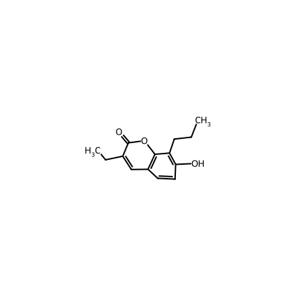 CCCc1c(O)ccc2cc(CC)c(=O)oc12